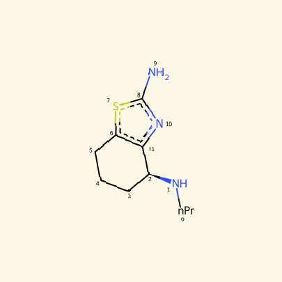 CCCN[C@H]1CCCc2sc(N)nc21